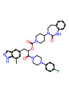 Cc1cc(CC(OC(=O)N2CCC(N3CCc4ccccc4NC3=O)CC2)C(=O)N2CCN(c3ccc(F)cc3)CC2)cc2cn[nH]c12